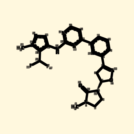 CN1CC[C@@H](C2CC(c3cccc(-c4ccnc(Nc5cnn(C)c5C(F)F)n4)n3)=NO2)C1=O